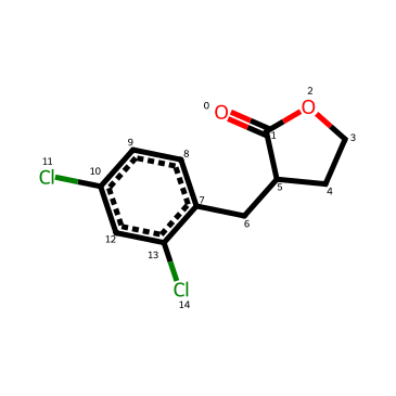 O=C1OCCC1Cc1ccc(Cl)cc1Cl